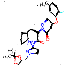 Cc1ccc(F)c(Oc2cnn(C(CC3CCCC3)C(=O)Nc3ccn(C[C@@H]4COC(C)(C)O4)n3)c(=O)c2)c1